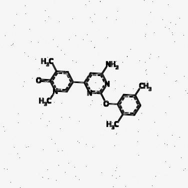 Cc1ccc(C)c(Oc2nc(N)cc(-c3cc(C)c(=O)n(C)c3)n2)c1